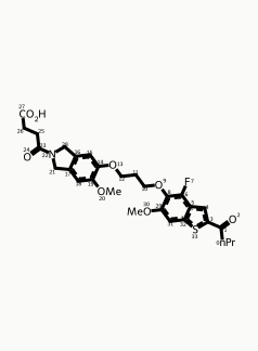 CCCC(=O)c1cc2c(F)c(OCCCOc3cc4c(cc3OC)CN(C(=O)CCC(=O)O)C4)c(OC)cc2s1